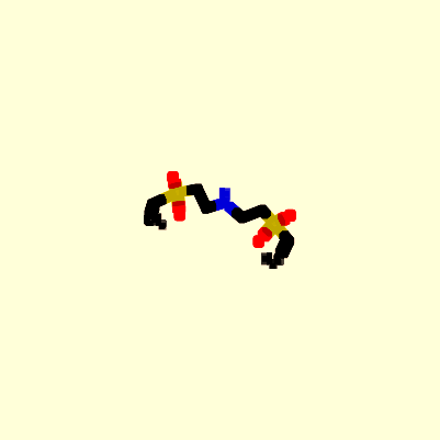 C=CS(=O)(=O)CCNCCS(=O)(=O)C=C